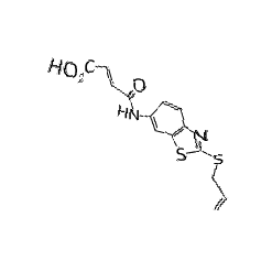 C=CCSc1nc2ccc(NC(=O)/C=C/C(=O)O)cc2s1